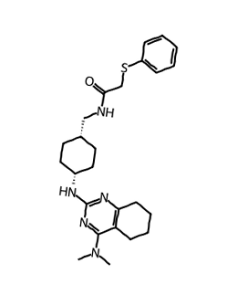 CN(C)c1nc(N[C@H]2CC[C@@H](CNC(=O)CSc3ccccc3)CC2)nc2c1CCCC2